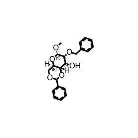 CO[C@H]1O[C@@H]2COC(c3ccccc3)O[C@H]2[C@H](O)[C@@H]1OCc1ccccc1